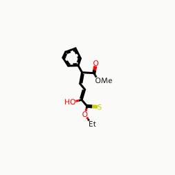 CCOC(=S)C(O)=CC=C(C(=O)OC)c1ccccc1